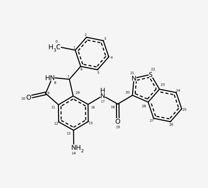 Cc1ccccc1C1NC(=O)c2cc(N)cc(NC(=O)c3nsc4ccccc34)c21